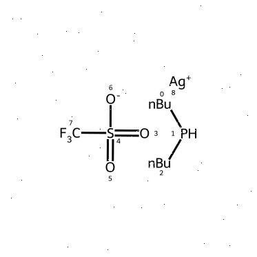 CCCCPCCCC.O=S(=O)([O-])C(F)(F)F.[Ag+]